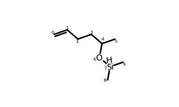 C=CCCC(C)O[SiH](C)C